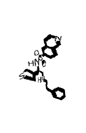 O=S(=O)(N[C@@H](CNCCc1ccccc1)c1ccsc1)c1ccc2cnccc2c1